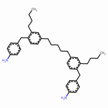 CCCCc1cc(CCCCCc2ccc(Cc3ccc(N)cc3)c(CCCC)c2)ccc1Cc1ccc(N)cc1